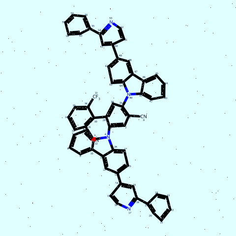 N#Cc1cc(-n2c3ccccc3c3cc(-c4ccnc(-c5ccccc5)c4)ccc32)c(-c2c(C#N)cccc2C(F)(F)F)cc1-n1c2ccccc2c2cc(-c3ccnc(-c4ccccc4)c3)ccc21